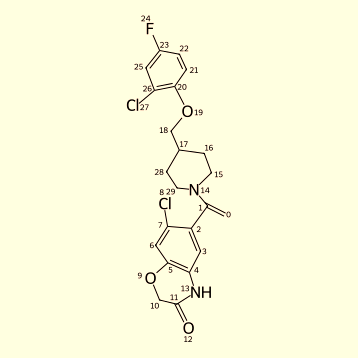 C=C(c1cc2c(cc1Cl)OCC(=O)N2)N1CCC(COc2ccc(F)cc2Cl)CC1